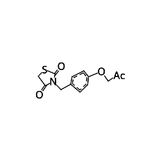 CC(=O)COc1ccc(CN2C(=O)CSC2=O)cc1